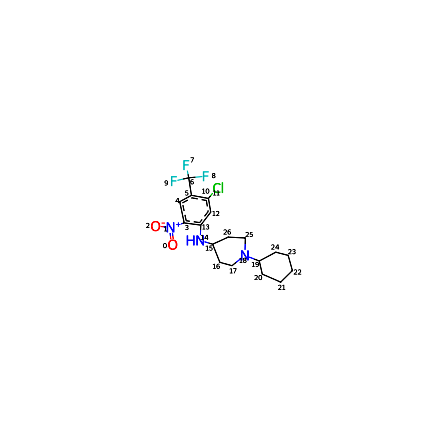 O=[N+]([O-])c1cc(C(F)(F)F)c(Cl)cc1NC1CCN(C2CCCCC2)CC1